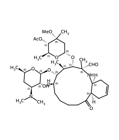 CO[C@]1(C)C[C@H](O[C@H]2[C@H](C)[C@@H](O[C@@H]3O[C@H](C)C[C@H](N(C)C)[C@H]3O)[C@H](O)CCCCC(=O)[C@@H]3CC=CC[C@@H]3N[C@@]2(C)C=O)O[C@@H](C)[C@@H]1OC(C)=O